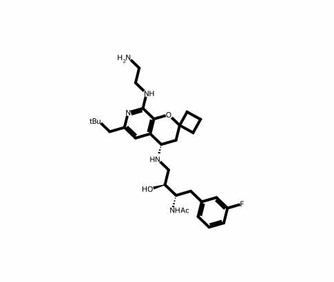 CC(=O)N[C@@H](Cc1cccc(F)c1)[C@@H](O)CN[C@H]1CC2(CCC2)Oc2c1cc(CC(C)(C)C)nc2NCCN